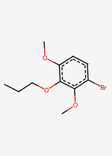 CCCOc1c(OC)c[c]c(Br)c1OC